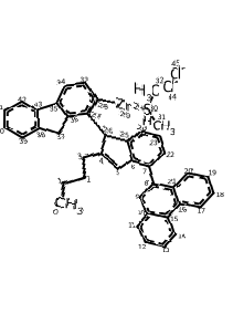 CCCCC1=Cc2c(-c3cc4ccccc4c4ccccc34)cccc2C1c1[c]([Zr+2][SiH](C)C)ccc2c1Cc1ccccc1-2.[Cl-].[Cl-]